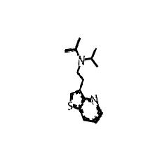 CC(C)N(CCc1csc2cccnc12)C(C)C